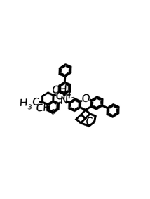 CC1(C)CCC(C)(C)c2c(N(c3ccc(-c4ccccc4)cc3)c3ccc4c(c3)Oc3ccc(-c5ccccc5)cc3C43C4CC5CC6CC3C64C5)cccc21